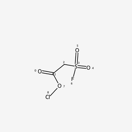 O=C(CS(=O)(=O)F)OCl